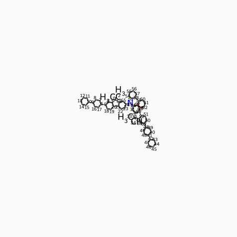 CC1(C)c2cc(-c3ccc(-c4ccccc4)cc3)ccc2-c2ccc(N(c3ccc4c(c3)C(C)(C)c3cc(-c5ccc(-c6ccccc6)cc5)ccc3-4)c3ccccc3-c3ccccc3)cc21